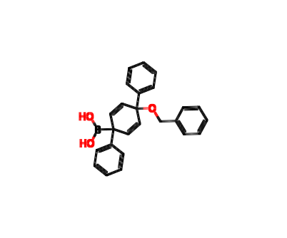 OB(O)C1(c2ccccc2)C=CC(OCc2ccccc2)(c2ccccc2)C=C1